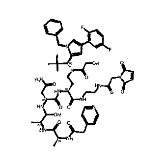 C[C@H](NC(=O)Cc1ccncc1)C(=O)N[C@@H](C)C(O)N[C@@H](CC(N)=O)C(=O)N[C@@H](CCN(C(=O)CO)[C@@H](c1cc(-c2cc(F)ccc2F)cn1Cc1ccccc1)C(C)(C)C)C(=O)NCCNC(=O)CN1C(=O)C=CC1=O